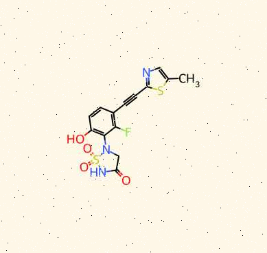 Cc1cnc(C#Cc2ccc(O)c(N3CC(=O)NS3(=O)=O)c2F)s1